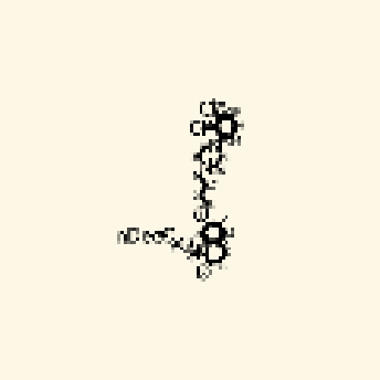 CCCCCCCCCCOCOCN1C(=O)CCc2ccc(OCCCCN3CCN(c4cccc(Cl)c4Cl)CC3)cc21